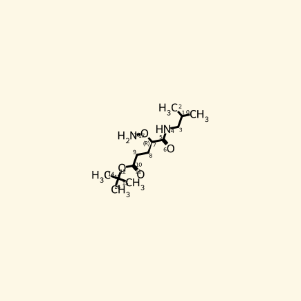 CC(C)CNC(=O)[C@@H](CCC(=O)OC(C)(C)C)ON